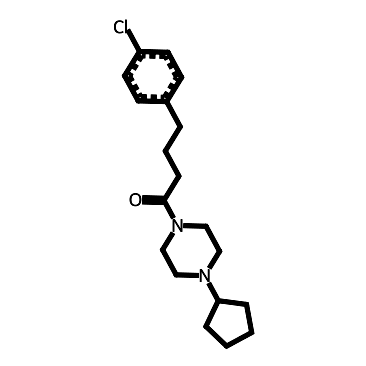 O=C(CCCc1ccc(Cl)cc1)N1CCN(C2CCCC2)CC1